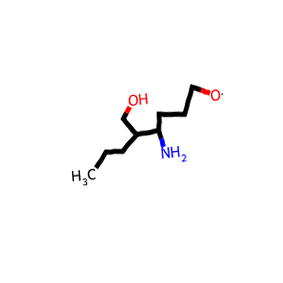 CCCC(CO)C(N)CCC[O]